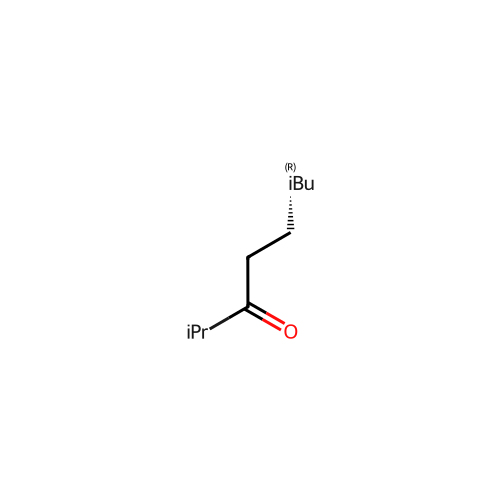 CC[C@@H](C)CCC(=O)C(C)C